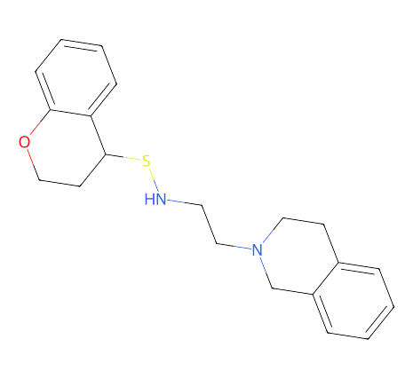 c1ccc2c(c1)CCN(CCNSC1CCOc3ccccc31)C2